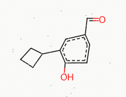 O=Cc1ccc(O)c(C2CCC2)c1